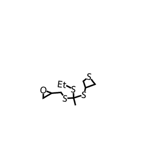 CCSC(C)(SCC1CO1)SC1CSC1